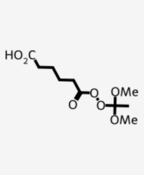 COC(C)(OC)OOC(=O)CCCCC(=O)O